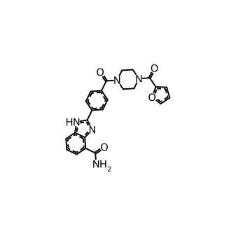 NC(=O)c1cccc2[nH]c(-c3ccc(C(=O)N4CCN(C(=O)c5ccco5)CC4)cc3)nc12